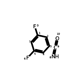 Fc1cccc(F)c1.N=C=O